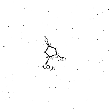 CC[C@@H]1CC(=O)C[C@@H]1C(=O)O